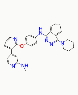 CNc1cc(-c2cccnc2Oc2ccc(Nc3nnc(N4CCCCC4)c4ccccc34)cc2)ccn1